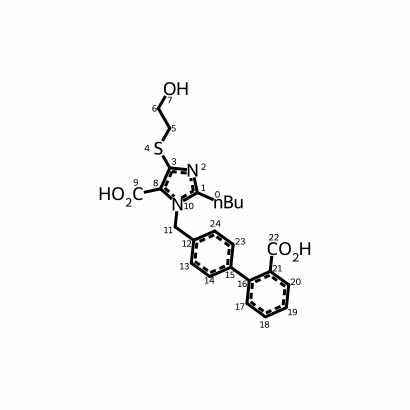 CCCCc1nc(SCCO)c(C(=O)O)n1Cc1ccc(-c2ccccc2C(=O)O)cc1